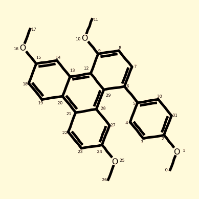 COc1ccc(-c2ccc(OC)c3c4cc(OC)ccc4c4ccc(OC)cc4c23)cc1